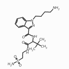 CC(C)(C)C(NC(=O)c1nn(CCCCN)c2ccccc12)C(=O)NCCS(N)(=O)=O